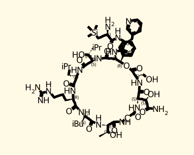 CC[C@H](C)[C@@H]1NC(=O)[C@@H](CCCNC(=N)N)NC(=O)[C@H](CC(C)C)NC(=O)[C@H]([C@H](O)C(C)C)NC(=O)[C@@H](NC(=O)[C@H](Cc2cccnc2)NC(=O)[C@H](N)C[Si](C)(C)C)[C@@H](c2ccccc2)OC(=O)[C@H](CO)NC(=O)[C@H]([C@H](O)C(N)=O)NC(=O)CNC(=O)[C@H]([C@H](C)O)NC1=O